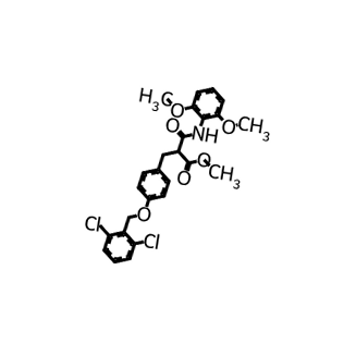 COC(=O)C(Cc1ccc(OCc2c(Cl)cccc2Cl)cc1)C(=O)Nc1c(OC)cccc1OC